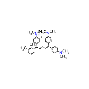 CC1=C(C)C(=C(C=CC=C(c2ccc(N(C)C)cc2)c2ccc(N(C)C)cc2)c2ccc(N(C)C)cc2)C=C[C]1